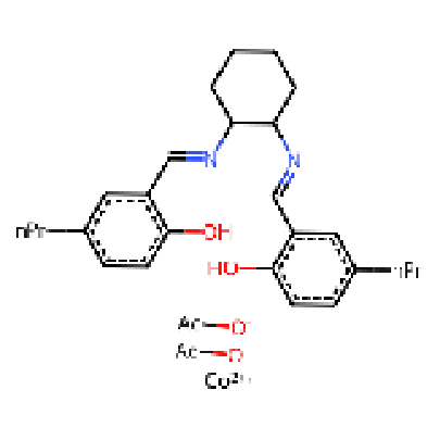 CC(=O)[O-].CC(=O)[O-].CCCc1ccc(O)c(C=NC2CCCCC2N=Cc2cc(CCC)ccc2O)c1.[Co+2]